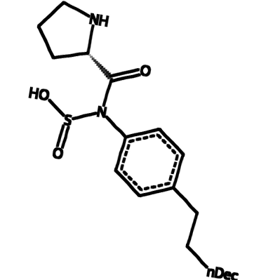 CCCCCCCCCCCCc1ccc(N(C(=O)[C@@H]2CCCN2)S(=O)O)cc1